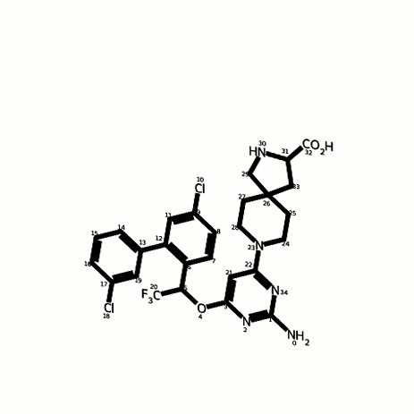 Nc1nc(OC(c2ccc(Cl)cc2-c2cccc(Cl)c2)C(F)(F)F)cc(N2CCC3(CC2)CNC(C(=O)O)C3)n1